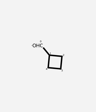 O=[C]C1CCC1